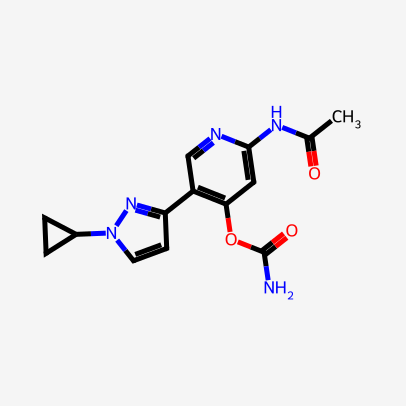 CC(=O)Nc1cc(OC(N)=O)c(-c2ccn(C3CC3)n2)cn1